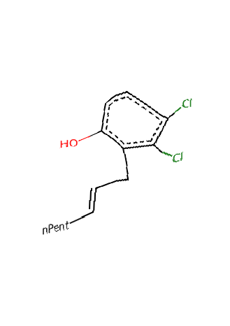 CCCCCC=CCc1c(O)ccc(Cl)c1Cl